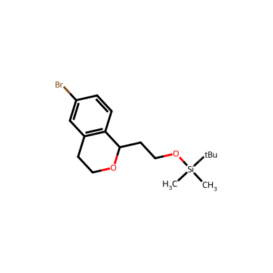 CC(C)(C)[Si](C)(C)OCCC1OCCc2cc(Br)ccc21